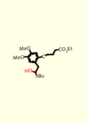 CCCCC(O)Cc1cc(OC)c(OC)cc1CCCCC(=O)OCC